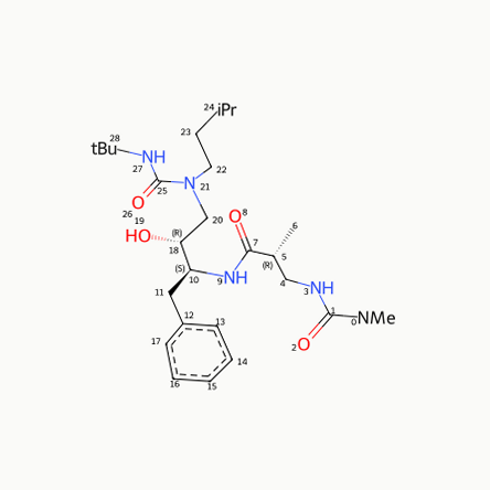 CNC(=O)NC[C@@H](C)C(=O)N[C@@H](Cc1ccccc1)[C@H](O)CN(CCC(C)C)C(=O)NC(C)(C)C